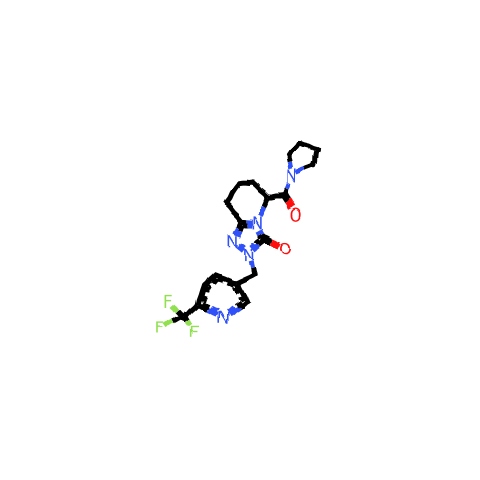 O=C(C1CCCc2nn(Cc3ccc(C(F)(F)F)nc3)c(=O)n21)N1CCCC1